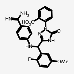 COc1ccc(F)c(C(Nc2ccc(C(=N)N)cc2)c2nn(-c3ccccc3C(=O)O)c(=O)[nH]2)c1